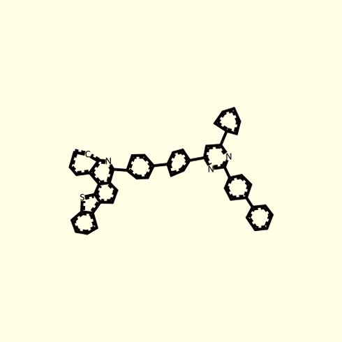 c1ccc(-c2ccc(-c3nc(-c4ccccc4)cc(-c4ccc(-c5ccc(-c6nc7ccccc7c7c6ccc6c8ccccc8sc67)cc5)cc4)n3)cc2)cc1